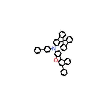 c1ccc(-c2ccc(N(c3ccc4c(c3)C3(c5ccccc5-c5ccccc53)c3ccccc3-4)c3ccc4c(c3)oc3cc(-c5ccccc5)c5ccccc5c34)cc2)cc1